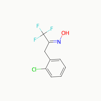 ON=C(Cc1ccccc1Cl)C(F)(F)F